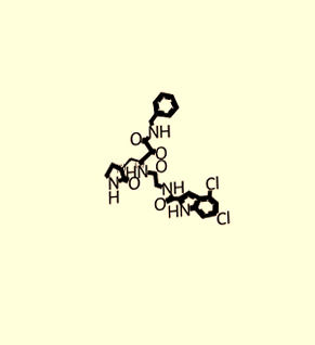 O=C(CNC(=O)c1cc2c(Cl)cc(Cl)cc2[nH]1)N[C@@H](C[C@@H]1CCNC1=O)C(=O)C(=O)NCc1ccccc1